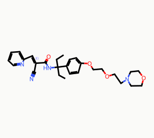 CCC(CC)(NC(=O)/C(C#N)=C/c1ccccn1)c1ccc(OCCOCCN2CCOCC2)cc1